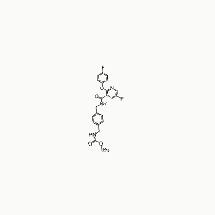 CC(C)(C)OC(=O)NCc1ccc(CNC(=O)c2cc(F)cnc2Oc2ccc(F)cc2)cc1